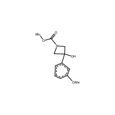 COc1cccc(C2(O)CN(C(=O)OC(C)(C)C)C2)c1